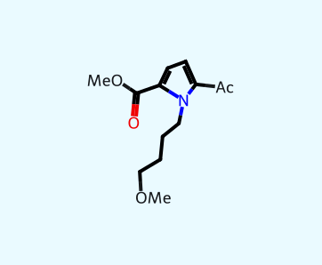 COCCCCn1c(C(C)=O)ccc1C(=O)OC